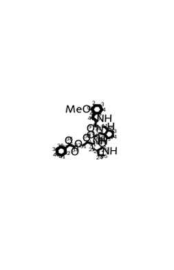 COc1cccc2[nH]c(C(=O)N3C[C@@H]4CCC[C@@H]4[C@H]3C(=O)N[C@@H](C[C@@H]3CCNC3=O)C(=O)COC(=O)C(=O)c3ccccc3)cc12